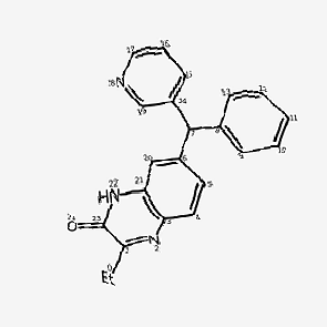 CCc1nc2ccc(C(c3ccccc3)c3cccnc3)cc2[nH]c1=O